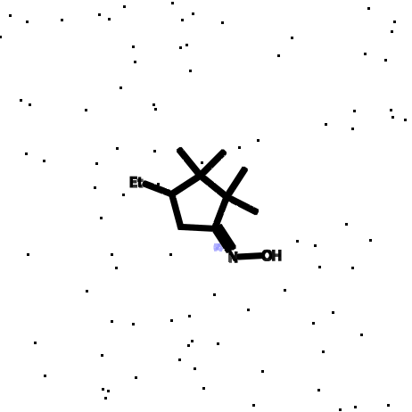 CCC1C/C(=N/O)C(C)(C)C1(C)C